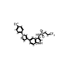 CCc1ccc(-n2cc(-c3ccc4[nH]cc(NS(=O)(=O)CCC(F)(F)F)c4c3)cn2)cc1